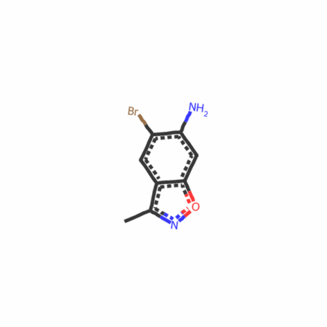 Cc1noc2cc(N)c(Br)cc12